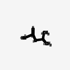 CC(C)OC([NH])=O